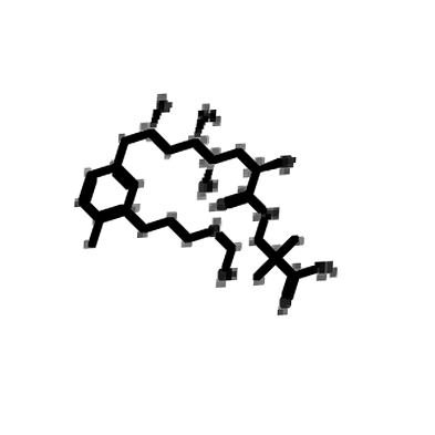 Cc1ccc(C[C@@H](C[C@H](N)[C@@H](O)C[C@H](C(=O)NCC(C)(C)C(N)=O)C(C)C)C(C)C)cc1CCCOCO